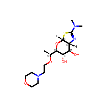 C[C@H](OCCN1CCOCC1)[C@H]1O[C@@H]2SC(N(C)C)=N[C@@H]2[C@@H](O)[C@@H]1O